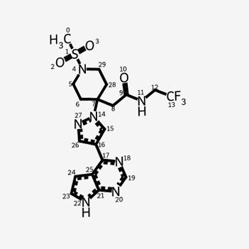 CS(=O)(=O)N1CCC(CC(=O)NCC(F)(F)F)(n2cc(-c3ncnc4[nH]ccc34)cn2)CC1